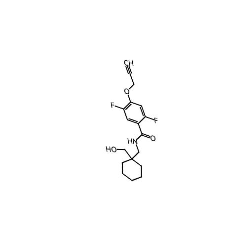 C#CCOc1cc(F)c(C(=O)NCC2(CO)CCCCC2)cc1F